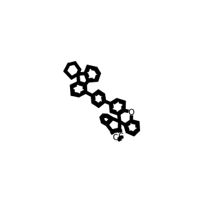 c1ccc2c(c1)Oc1ccc(-c3ccc(-c4cccc5c4-c4ccccc4C54CCCCC4)cc3)cc1C21c2ccccc2-c2ccccc21